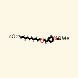 CCCCCCCCC=CCCCCCCCCOCCc1ccc(OCOC)cc1